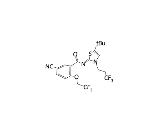 CC(C)(C)c1cn(CCC(F)(F)F)/c(=N/C(=O)c2cc(C#N)ccc2OCC(F)(F)F)s1